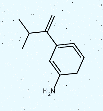 C=C(C1=C=CCC(N)=C1)C(C)C